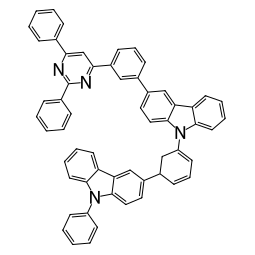 C1=CC(c2ccc3c(c2)c2ccccc2n3-c2ccccc2)CC(n2c3ccccc3c3cc(-c4cccc(-c5cc(-c6ccccc6)nc(-c6ccccc6)n5)c4)ccc32)=C1